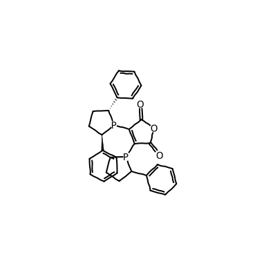 O=C1OC(=O)C(P2[C@@H](c3ccccc3)CC[C@@H]2c2ccccc2)=C1P1CCCC1c1ccccc1